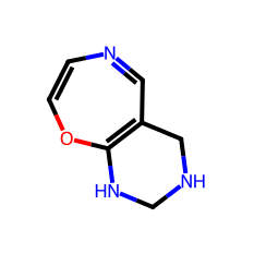 C1=COC2=C(C=N1)CNCN2